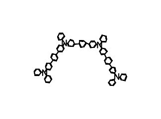 c1ccc(N(c2ccccc2)c2ccc(-c3ccc(-c4ccc(N(c5ccccc5)c5ccc(-c6ccc(-c7ccc(N(c8ccccc8)c8ccc(-c9ccc(-c%10ccc(N(c%11ccccc%11)c%11ccccc%11)cc%10)cc9)cc8)cc7)cc6)cc5)cc4)cc3)cc2)cc1